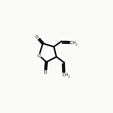 C=CC1C(=O)OC(=O)C1C=C